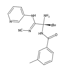 Cc1cccc(C(=O)N[C@@](N)(C(=NC#N)Nc2cccnc2)C(C)(C)C)c1